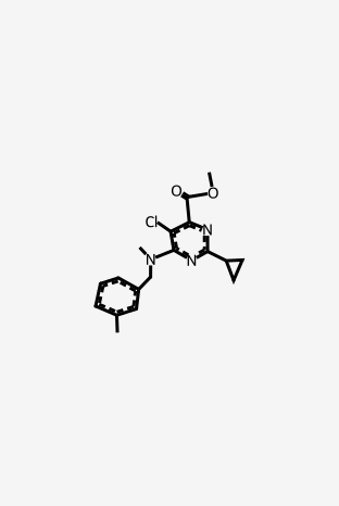 COC(=O)c1nc(C2CC2)nc(N(C)Cc2cccc(C)c2)c1Cl